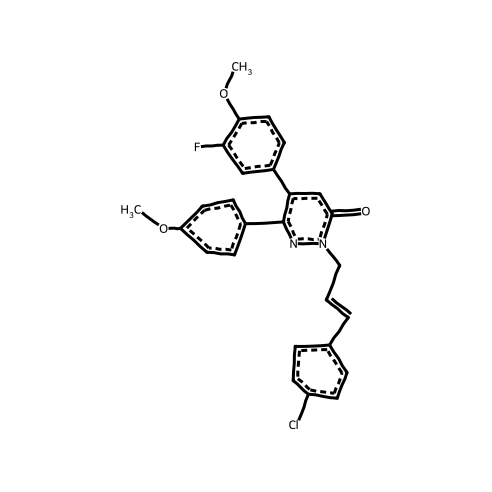 COc1ccc(-c2nn(C/C=C/c3ccc(Cl)cc3)c(=O)cc2-c2ccc(OC)c(F)c2)cc1